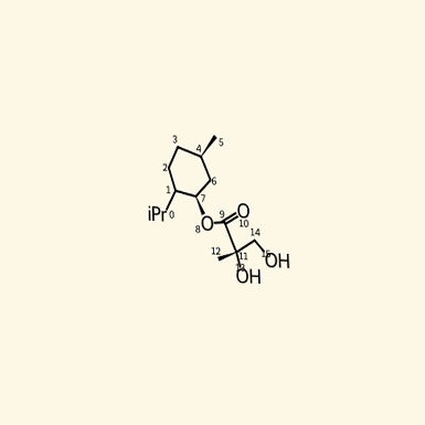 CC(C)C1CC[C@@H](C)C[C@H]1OC(=O)[C@@](C)(O)CO